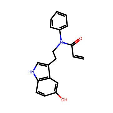 C=CC(=O)N(CCc1c[nH]c2ccc(O)cc12)c1ccccc1